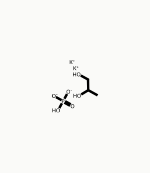 CC(O)CO.O=P([O-])([O-])O.[K+].[K+]